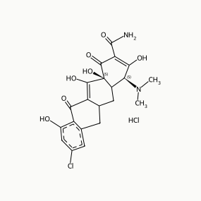 CN(C)[C@@H]1C(O)=C(C(N)=O)C(=O)[C@@]2(O)C(O)=C3C(=O)c4c(O)cc(Cl)cc4CC3CC12.Cl